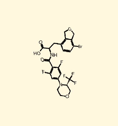 O=C(NC(Cc1ccc(Br)c2c1COC2)C(=O)O)c1c(F)cc(N2CCOC[C@@H]2C(F)(F)F)cc1F